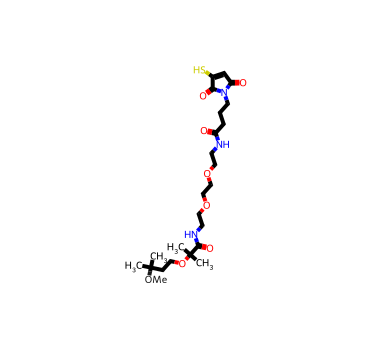 COC(C)(C)CCOC(C)(C)C(=O)NCCOCCOCCNC(=O)CCCN1C(=O)C=C(S)C1=O